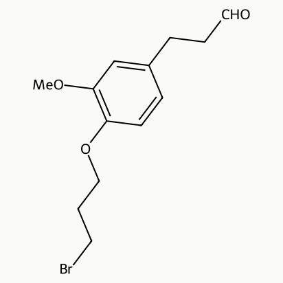 COc1cc(CCC=O)ccc1OCCCBr